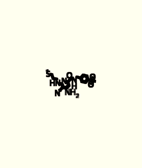 CSCCCNc1nc(C(=O)NCc2ccc(S(C)(=O)=O)cc2)cc(N)c1C#N